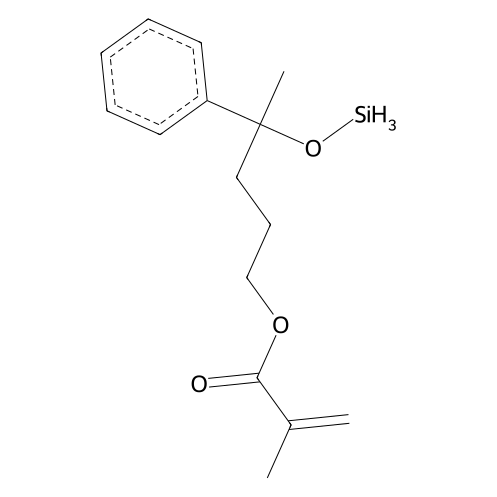 C=C(C)C(=O)OCCCC(C)(O[SiH3])c1ccccc1